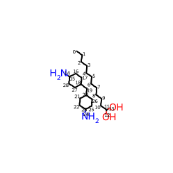 CCCCCCCCCCCC(O)O.NC1CCC(CC2CCC(N)CC2)CC1